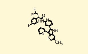 Cc1cnc2c(-c3ccccn3)c(-c3ccnc(NC(=O)[C@H](CC(F)F)c4ccc(F)cc4)c3)[nH]c2c1